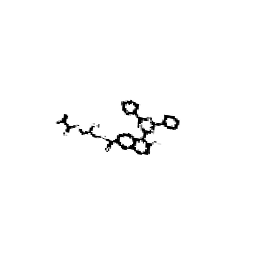 C=C(C)C(=O)OCC(O)COC(=O)c1ccc2c(-c3nc(-c4ccccc4)nc(-c4ccccc4)n3)c(O)ccc2c1